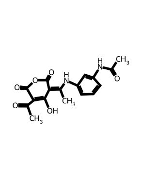 CC(=O)Nc1cccc(NC(C)=C2C(=O)OC(=O)C(C(C)=O)=C2O)c1